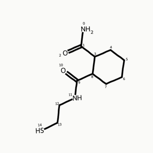 NC(=O)C1CCCCC1C(=O)NCCS